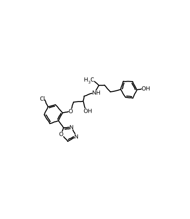 CC(CCc1ccc(O)cc1)NCC(O)COc1cc(Cl)ccc1-c1nnco1